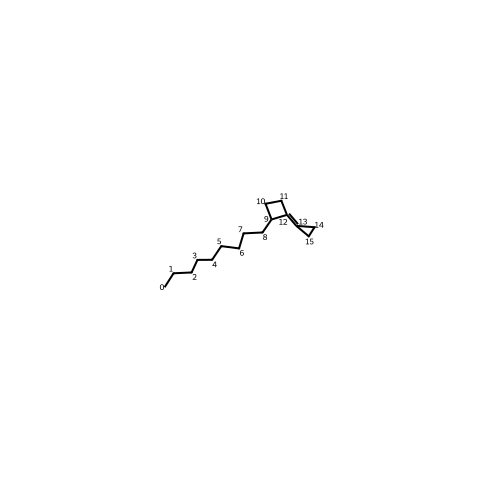 CCCCCCCCCC1CCC1=C1CC1